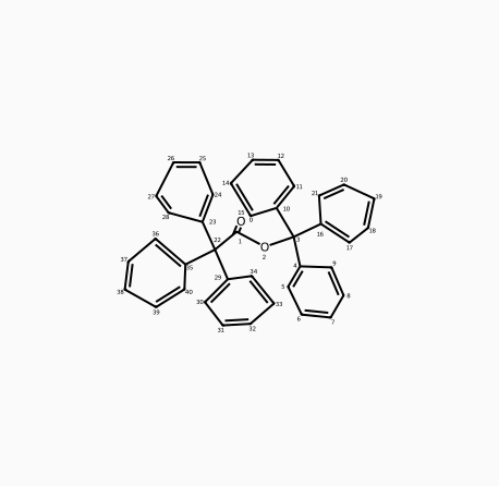 O=C(OC(c1ccccc1)(c1ccccc1)c1ccccc1)C(c1ccccc1)(c1ccccc1)c1ccccc1